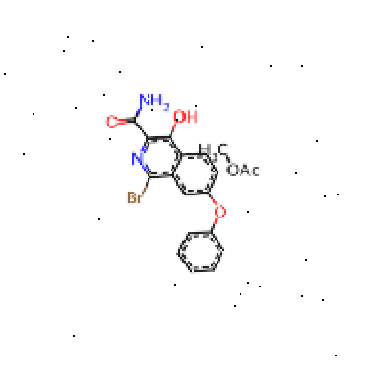 COC(C)=O.NC(=O)c1nc(Br)c2cc(Oc3ccccc3)ccc2c1O